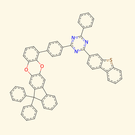 c1ccc(-c2nc(-c3ccc(-c4cccc5c4Oc4cc6c(cc4O5)C(c4ccccc4)(c4ccccc4)c4ccccc4-6)cc3)nc(-c3ccc4c(c3)sc3ccccc34)n2)cc1